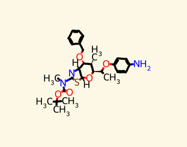 CC(Oc1ccc(N)cc1)[C@H]1O[C@@H]2SC(N(C)C(=O)OC(C)(C)C)=N[C@@H]2[C@@H](OCc2ccccc2)[C@@H]1C